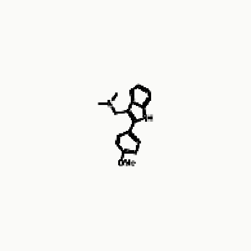 COc1ccc(-c2[nH]c3ccccc3c2CN(C)C)cc1